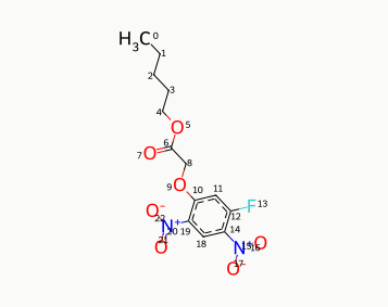 CCCCCOC(=O)COc1cc(F)c([N+](=O)[O-])cc1[N+](=O)[O-]